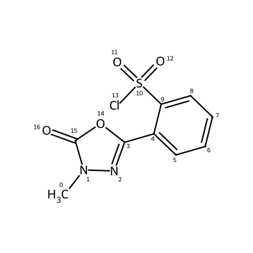 Cn1nc(-c2ccccc2S(=O)(=O)Cl)oc1=O